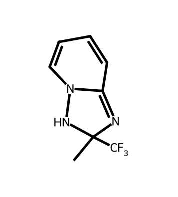 CC1(C(F)(F)F)N=C2C=CC=CN2N1